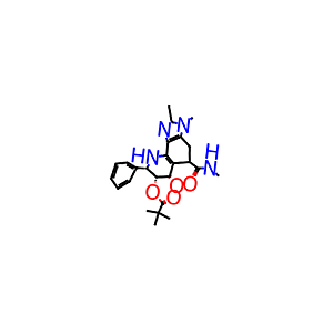 CNC(=O)C1Cc2c(nc(C)n2C)C2=C1C(=O)[C@H](OC(=O)C(C)(C)C)[C@@H](c1ccccc1)N2